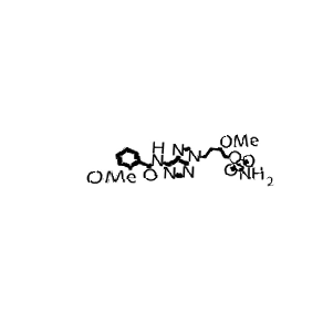 COc1ccccc1C(=O)Nc1ncnc2c1ncn2CC[C@@H](COS(N)(=O)=O)OC